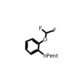 CCC[CH]Cc1ccccc1OC(F)F